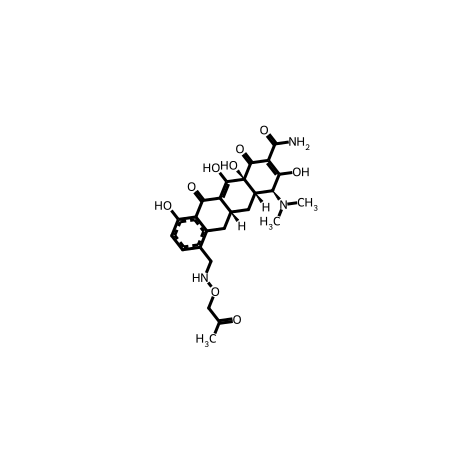 CC(=O)CONCc1ccc(O)c2c1C[C@H]1C[C@H]3[C@H](N(C)C)C(O)=C(C(N)=O)C(=O)[C@@]3(O)C(O)=C1C2=O